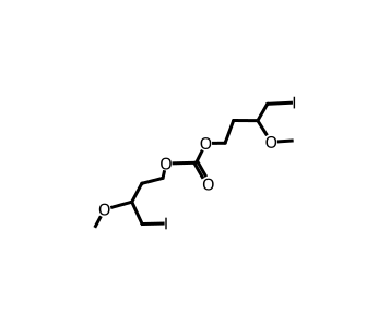 COC(CI)CCOC(=O)OCCC(CI)OC